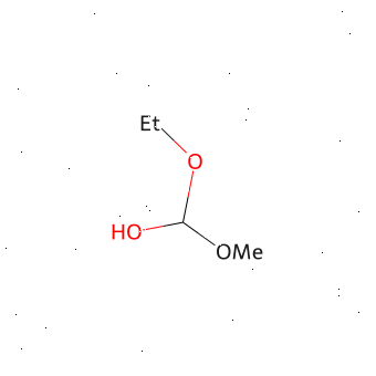 [CH2]COC(O)OC